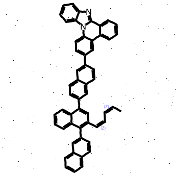 C/C=C\C=C/c1cc(-c2ccc3cc(-c4ccc5c(c4)c4ccccc4c4nc6ccccc6n54)ccc3c2)c2ccccc2c1-c1ccc2ccccc2c1